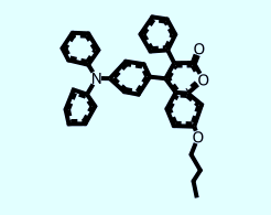 CCCCOc1ccc2c(-c3ccc(N(c4ccccc4)c4ccccc4)cc3)c(-c3ccccc3)c(=O)oc2c1